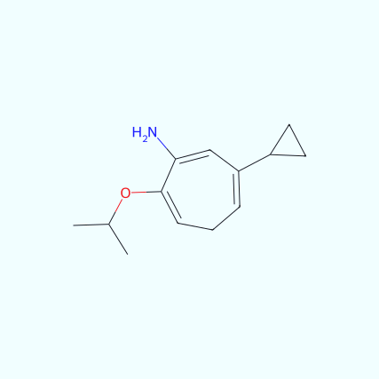 CC(C)OC1=CCC=C(C2CC2)C=C1N